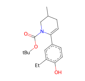 CCc1cc(C2=CCC(C)CN2C(=O)OC(C)(C)C)ccc1O